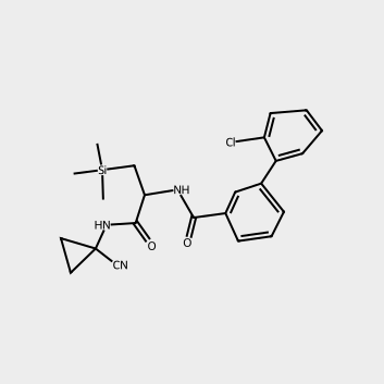 C[Si](C)(C)CC(NC(=O)c1cccc(-c2ccccc2Cl)c1)C(=O)NC1(C#N)CC1